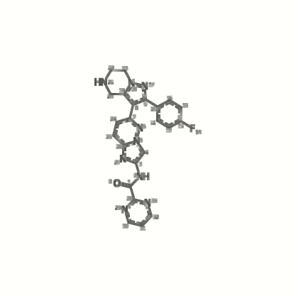 O=C(Nc1cn2nc(-c3c(-c4ccc(F)cc4)nn4c3CNCC4)ccc2n1)c1ncccn1